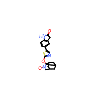 O=C1Cc2cc(-c3cnc(OC4C5CC6CC(C5)C[N+]4([O-])C6)s3)ccc2N1